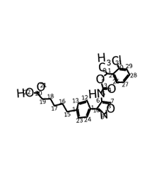 CC(OC(=O)Nc1conc1-c1ccc(CCCCCC(=O)O)cc1)c1ccccc1Cl